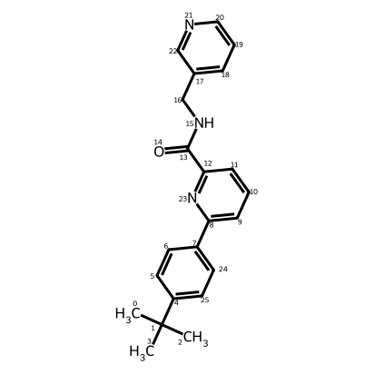 CC(C)(C)c1ccc(-c2cccc(C(=O)NCc3cccnc3)n2)cc1